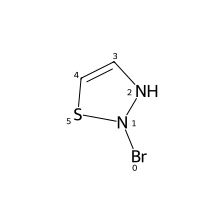 BrN1NC=CS1